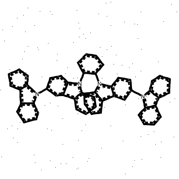 c1ccc(-n2c3ccccc3c3cc(-n4c5ccccc5c5ccccc54)ccc32)c(-n2c3ccccc3c3cc(-n4c5ccccc5c5ccccc54)ccc32)c1